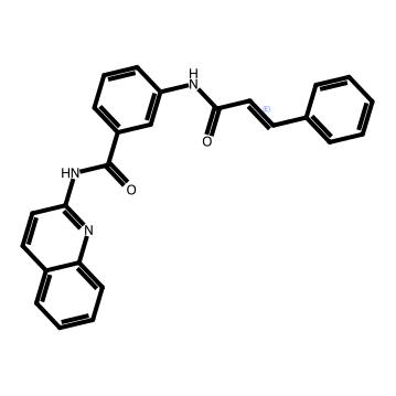 O=C(/C=C/c1ccccc1)Nc1cccc(C(=O)Nc2ccc3ccccc3n2)c1